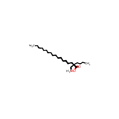 CCCCCCCCCCCCCCCCC(CC)(CCCC)C(=O)O